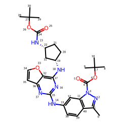 Cc1nn(C(=O)OC(C)(C)C)c2cc(Nc3nc(N[C@H]4CC[C@@H](NC(=O)OC(C)(C)C)C4)c4occc4n3)ccc12